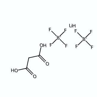 F[B-](F)(F)F.F[B-](F)(F)F.O=C(O)CC(=O)O.[LiH]